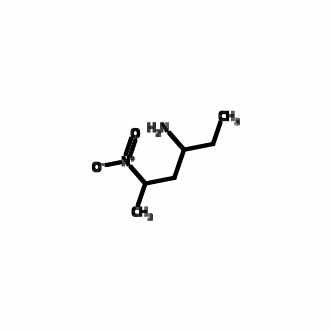 CCC(N)CC(C)[N+](=O)[O-]